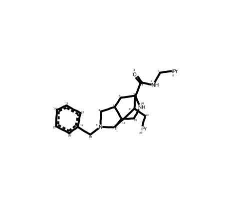 CC(C)CNC(=O)C12CC3CN(Cc4ccccc4)C(C3CN1)C2CC(C)C